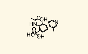 CC(=O)Nc1c(O)cccc1[As](=O)(O)O.Cc1cccnc1